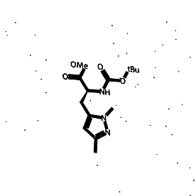 COC(=O)[C@H](Cc1cc(C)nn1C)NC(=O)OC(C)(C)C